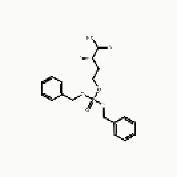 O=C(O)[C@H](F)CCOP(=O)(OCc1ccccc1)OCc1ccccc1